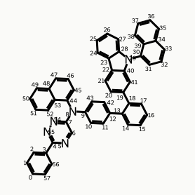 c1ccc(-c2ncc(N(c3ccc(-c4ccccc4-c4ccc5c6ccccc6n(-c6cccc7ccccc67)c5c4)cc3)c3cccc4ccccc34)nn2)cc1